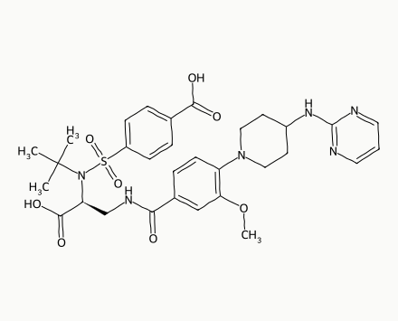 COc1cc(C(=O)NC[C@@H](C(=O)O)N(C(C)(C)C)S(=O)(=O)c2ccc(C(=O)O)cc2)ccc1N1CCC(Nc2ncccn2)CC1